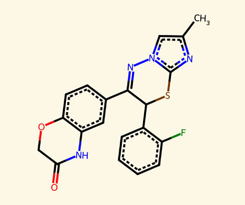 Cc1cn2c(n1)SC(c1ccccc1F)C(c1ccc3c(c1)NC(=O)CO3)=N2